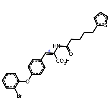 O=C(CCCCc1cccs1)N/C(=C/c1ccc(Oc2ccccc2Br)cc1)C(=O)O